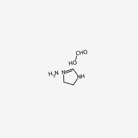 C1=NCCN1.N.O=CO